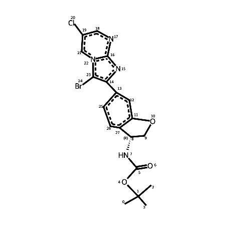 CC(C)(C)OC(=O)N[C@H]1COc2cc(-c3nc4ncc(Cl)cn4c3Br)ccc21